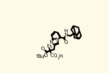 CCC(Cc1cn2c(C(=O)NCC34CC5CC(CC(C5)C3)C4)cccc2n1)(C(=O)O)C(=O)OC(C)(C)C